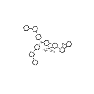 CC1(C)c2cc(-c3cccc4c3oc3ccccc34)ccc2-c2ccc(N(c3ccc(-c4cccc(-c5ccccc5)c4)cc3)c3ccc(-c4cccc(-c5ccccc5)c4)cc3)cc21